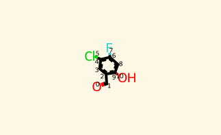 O=Cc1cc(Cl)c(F)cc1O